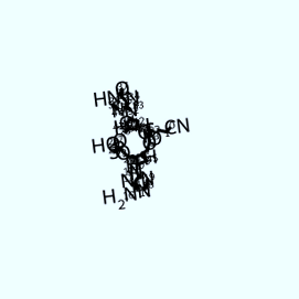 N#CCCOP1(=S)OC[C@H]2C[C@@H](n3cnc4c(N)ncnc43)[C@@H]2COP(O)(=S)OC[C@H]2O[C@@H](n3cnc4c(=O)[nH]cnc43)C[C@@H]2O1